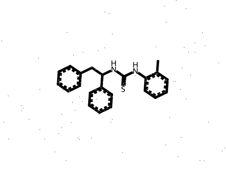 Cc1ccccc1NC(=S)NC(Cc1ccccc1)c1ccccc1